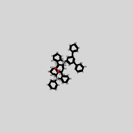 c1ccc(-c2cc(-c3ccccc3)cc(-n3c4ccccc4c4ccc(-c5ccccc5N(c5ccccc5)c5ccccc5)cc43)c2)cc1